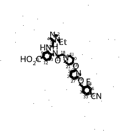 CCn1cncc1CNc1cc(C(=O)O)ccc1NC(=O)CN1CCC(Oc2cccc(OCc3ccc(C#N)cc3F)n2)CC1